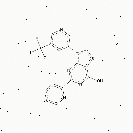 Oc1nc(-c2ccccn2)nc2c(-c3cncc(C(F)(F)F)c3)csc12